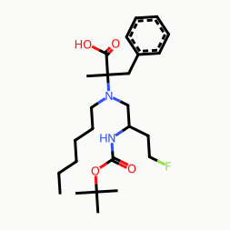 CCCCCCN(CC(CCF)NC(=O)OC(C)(C)C)C(C)(Cc1ccccc1)C(=O)O